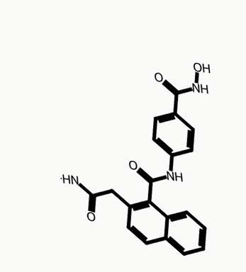 [NH]C(=O)Cc1ccc2ccccc2c1C(=O)Nc1ccc(C(=O)NO)cc1